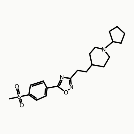 CS(=O)(=O)c1ccc(-c2nc(CCC3CCN(C4CCCC4)CC3)no2)cc1